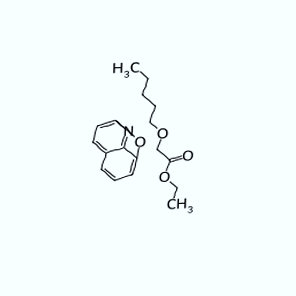 CCCCCOCC(=O)OCC.c1cc2ccc3nc2c(c1)o3